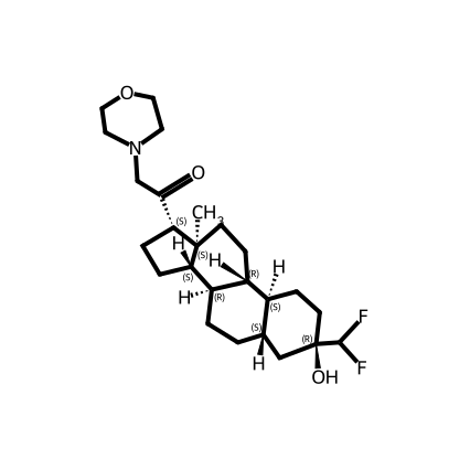 C[C@]12CC[C@H]3[C@@H](CC[C@H]4C[C@@](O)(C(F)F)CC[C@@H]43)[C@@H]1CC[C@@H]2C(=O)CN1CCOCC1